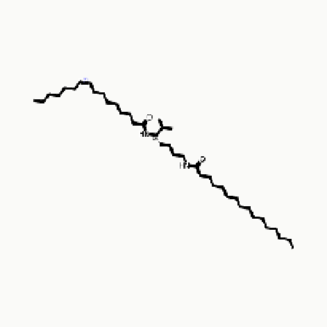 CCCCCC/C=C\CCCCCCCC(=O)N[C@@H](CCCCNC(=O)CCCCCCCCCCCCCCC)C(C)C